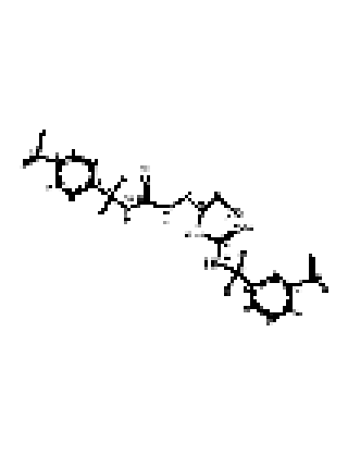 C=C(C)c1ccc(C(C)(C)NC(=O)OCC(CBr)OC(=O)NC(C)(C)c2cccc(C(=C)C)c2)cc1